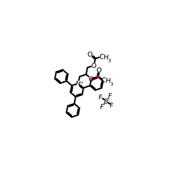 CC(=O)OCC(C[n+]1c(-c2ccccc2)cc(-c2ccccc2)cc1-c1ccccc1)OC(C)=O.F[B-](F)(F)F